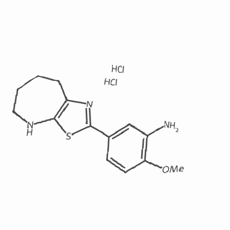 COc1ccc(-c2nc3c(s2)NCCCC3)cc1N.Cl.Cl